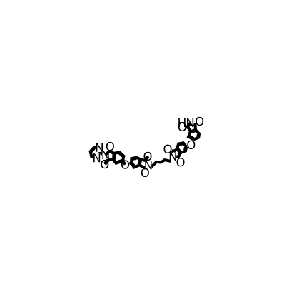 O=C1NC(=O)c2cc(Oc3ccc4c(c3)C(=O)N(CCCCCN3C(=O)c5ccc(Oc6ccc7c(c6)C(=O)N(c6ncccn6)C7=O)cc5C3=O)C4=O)ccc21